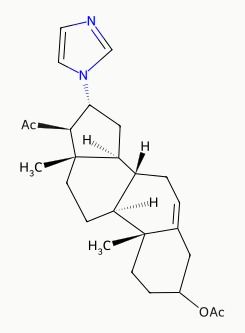 CC(=O)OC1CC[C@@]2(C)C(=CC[C@H]3[C@@H]4C[C@@H](n5ccnc5)[C@H](C(C)=O)[C@@]4(C)CC[C@@H]32)C1